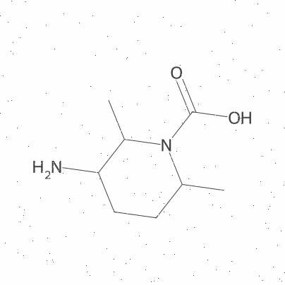 CC1CCC(N)C(C)N1C(=O)O